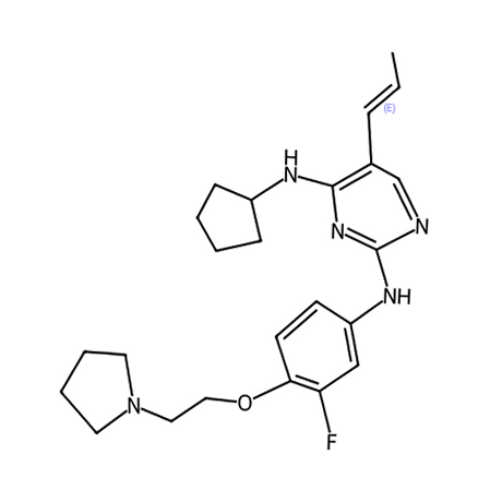 C/C=C/c1cnc(Nc2ccc(OCCN3CCCC3)c(F)c2)nc1NC1CCCC1